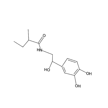 CCC(C)C(=O)NCC(O)c1ccc(O)c(O)c1